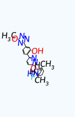 COc1ncnc(-c2ccc(-c3ccc(O[C@H]4[C@@H](F)[C@]5(C)CC[C@@]4(C)CN5)nn3)c(O)c2)n1